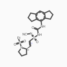 CCS(=O)(=O)N1CCC[C@@H]1/C=C/S(=O)(=NC#N)NC(=O)Nc1c2c(cc3c1CCC3)CCC2